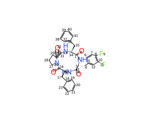 O=C1N[C@H](Cc2ccc(F)c(F)c2)C(=O)N[C@@H](Cc2ccccc2)C(=O)N2CCC[C@@H]2C(=O)N[C@H]1Cc1ccccc1